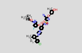 CC1(C)CCC(CN2CCN(c3ccc(C(=O)NS(=O)(=O)c4cnc(OC[C@H]5CC[C@](C)(O)CC5)c(C#N)c4)c(Oc4cc(F)cc5c4cnn5COCC[Si](C)(C)C)c3)CC2)=C(c2ccc(Cl)cc2)C1